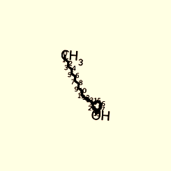 CCCCCCCCCCCCC#Cc1cccc(O)c1